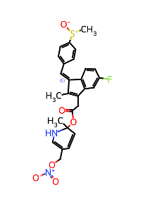 CC1=C(CC(=O)OC2(C)C=CC(CO[N+](=O)[O-])=CN2)c2cc(F)ccc2/C1=C\c1ccc([S+](C)[O-])cc1